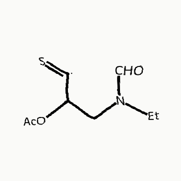 CCN(C=O)CC([C]=S)OC(C)=O